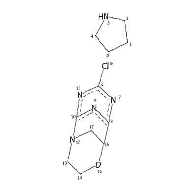 C1CCNC1.Clc1nc2nc(n1)N1CCOC2C1